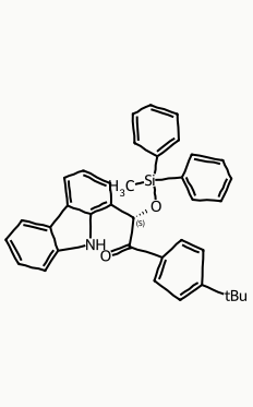 CC(C)(C)c1ccc(C(=O)[C@@H](O[Si](C)(c2ccccc2)c2ccccc2)c2cccc3c2[nH]c2ccccc23)cc1